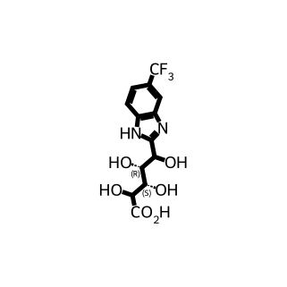 O=C(O)C(O)[C@@H](O)[C@H](O)C(O)c1nc2cc(C(F)(F)F)ccc2[nH]1